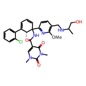 COc1nc(C2(NC(=O)c3cn(C)c(=O)n(C)c3=O)C=CC=C(c3ccccc3Cl)[C@H]2C)ccc1CNC(C)CO